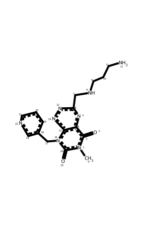 Cn1c(=O)c2nc(CNCCCN)nnc2n(Cc2cccnc2)c1=O